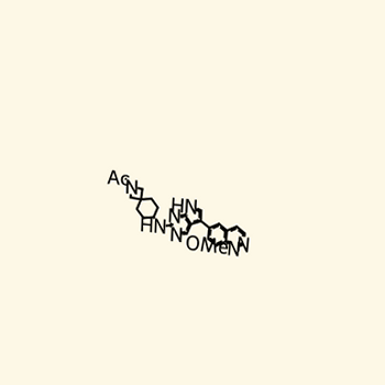 COc1nc(NC2CCC3(CC2)CN(C(C)=O)C3)nc2[nH]cc(-c3ccc4nnccc4c3)c12